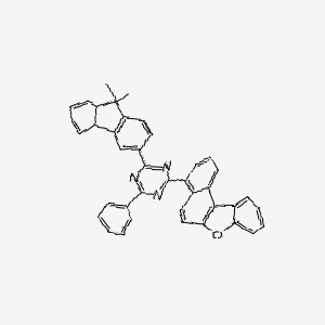 CC1(C)c2ccc(-c3nc(-c4ccccc4)nc(-c4cccc5c4ccc4oc6ccccc6c45)n3)cc2C2C=CC=CC21